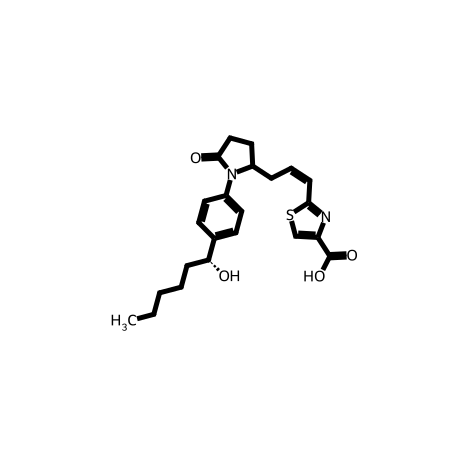 CCCCC[C@@H](O)c1ccc(N2C(=O)CCC2C/C=C\c2nc(C(=O)O)cs2)cc1